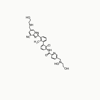 Cc1c(-c2nc3c(C#N)cc(CNCCO)cn3n2)cccc1-c1cccc(NC(=O)c2ccc(CN(O)CCO)cn2)c1Cl